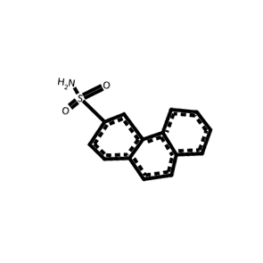 NS(=O)(=O)c1ccc2ccc3ccccc3c2c1